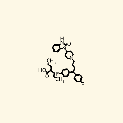 CCCC(CCC)C(=O)O.O=c1[nH]c2ccccc2n1C1CCN(CCCC(c2ccc(F)cc2)c2ccc(F)cc2)CC1